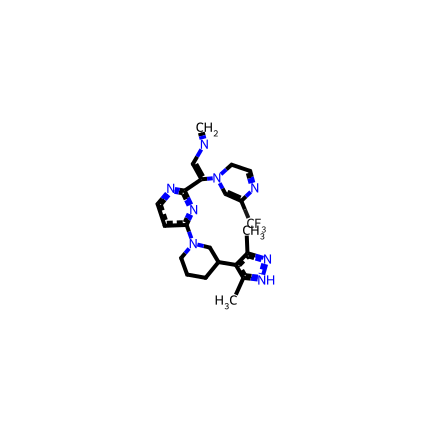 C=N/C=C(/c1nccc(N2CCCC(c3c(C)n[nH]c3C)C2)n1)N1C=C(C(F)(F)F)N=CC1